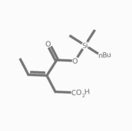 CC=C(CC(=O)O)C(=O)O[Si](C)(C)CCCC